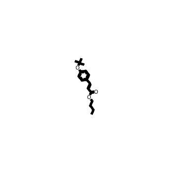 CCCCOC(=O)/C=C/c1ccc(OC(C)(C)C)cc1